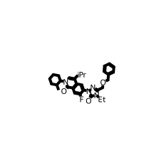 CCn1c(COCc2ccccc2)nn(-c2cc3c(C(C)C)cn(C4CCCCC4C)c(=O)c3cc2F)c1=O